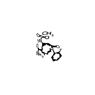 CS(=O)(=O)Nc1cc(=O)n(-c2ccccc2F)nc1C(N)=O